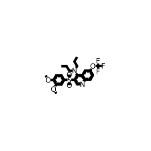 CCCN(CCC)c1c(S(=O)(=O)c2ccc(OC)c(OC)c2)cnc2ccc(OC(F)(F)F)cc12